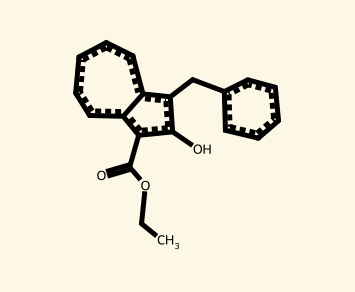 CCOC(=O)c1c2cccccc-2c(Cc2ccccc2)c1O